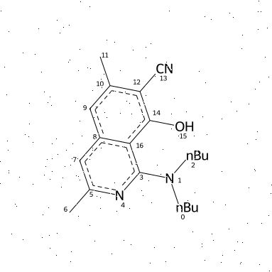 CCCCN(CCCC)c1nc(C)cc2cc(C)c(C#N)c(O)c12